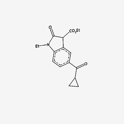 CCOC(=O)C1C(=O)N(CC)c2ccc(C(=O)C3CC3)cc21